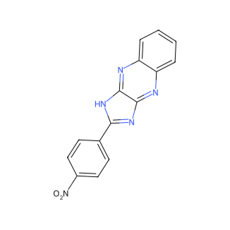 O=[N+]([O-])c1ccc(-c2nc3nc4ccccc4nc3[nH]2)cc1